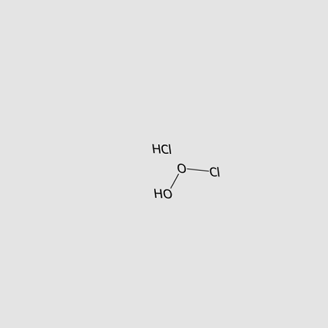 Cl.OOCl